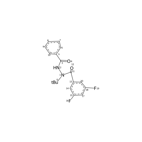 CC(C)(C)N(NC(=O)c1ccccc1)C(=O)c1cc(F)cc(F)c1